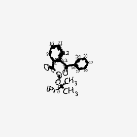 CC(C)C(C)(C)OOC(=O)c1ccccc1C(=O)c1ccccc1